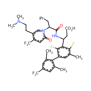 Cc1cc(-c2c(C)cc(C(F)(F)F)cc2C)c(F)c(C(CC(=O)O)NC(=O)C(CC(C)C)n2cc(CCN(C)C)c(C(F)(F)F)cc2=O)c1F